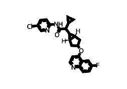 O=C(Nc1ccc(Cl)cn1)C(C1CC1)C1[C@H]2CC(Oc3ccnc4ccc(F)cc34)C[C@@H]12